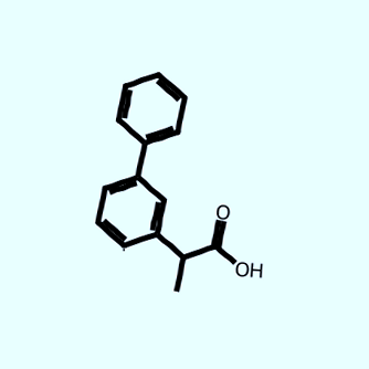 CC(C(=O)O)c1[c]ccc(-c2ccccc2)c1